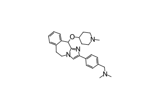 CN(C)Cc1ccc(-c2cn3c(n2)C(OC2CCN(C)CC2)c2ccccc2CC3)cc1